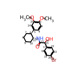 COc1ccc([C@@H]2CCCC[C@H]2NC(=O)C(O)c2ccc(Br)cc2)cc1OC